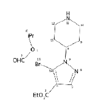 CC(C)OC=O.CCOC(=O)c1cnn(C2CCNCC2)c1Br